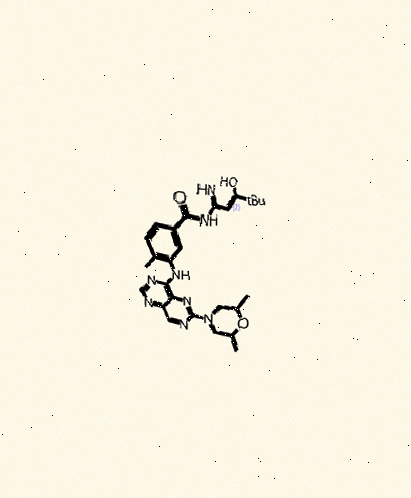 Cc1ccc(C(=O)NC(=N)/C=C(\O)C(C)(C)C)cc1Nc1ncnc2cnc(N3CC(C)OC(C)C3)nc12